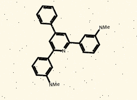 CNc1cccc(-c2cc(-c3ccccc3)cc(-c3cccc(NC)c3)n2)c1